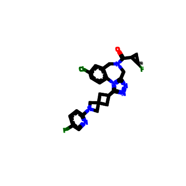 O=C(C1C[C@@H]1F)N1Cc2cc(Cl)ccc2-n2c(nnc2C2CC3(C2)CN(c2ccc(F)cn2)C3)C1